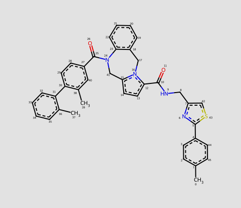 Cc1ccc(-c2nc(CNC(=O)c3ccc4n3Cc3ccccc3N(C(=O)c3ccc(-c5ccccc5C)c(C)c3)C4)cs2)cc1